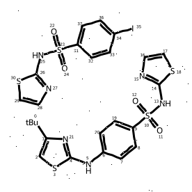 CC(C)(C)c1csc(Nc2ccc(S(=O)(=O)Nc3nccs3)cc2)n1.O=S(=O)(Nc1nccs1)c1ccc(I)cc1